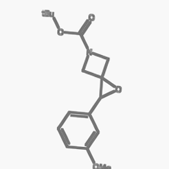 COc1cccc(C2OC23CN(C(=O)OC(C)(C)C)C3)c1